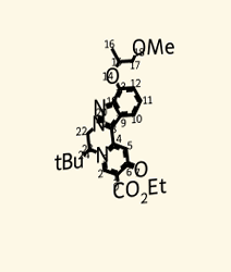 CCOC(=O)c1cn2c(cc1=O)-c1c3cccc(OC(C)COC)c3nn1CC2C(C)(C)C